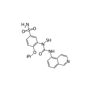 CC(C)Oc1ccc(S(N)(=O)=O)cc1N(S)C(=O)Nc1cccc2cnccc12